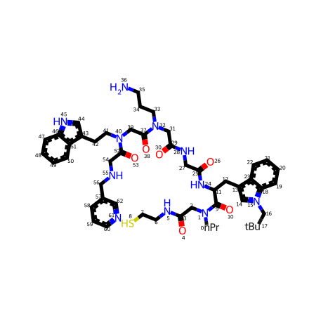 CCCN(CC(=O)NCCS)C(=O)C(Cc1cn(CC(C)(C)C)c2ccccc12)NC(=O)CNC(=O)CN(CCCN)C(=O)CN(CCc1c[nH]c2ccccc12)C(=O)CNCc1cccnc1